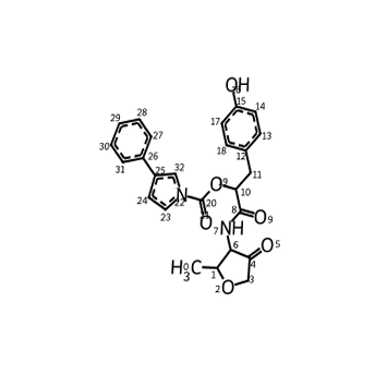 CC1OCC(=O)C1NC(=O)C(Cc1ccc(O)cc1)OC(=O)n1ccc(-c2ccccc2)c1